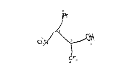 CC(C)C(C(O)C(F)(F)F)[N+](=O)[O-]